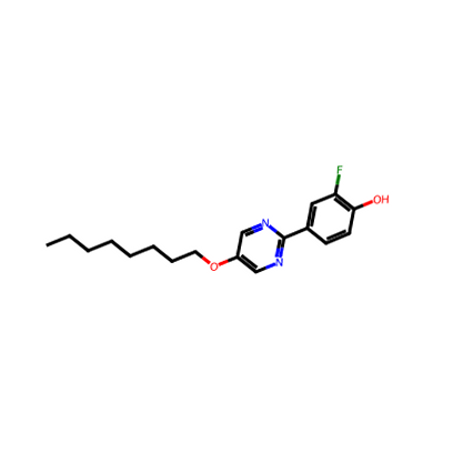 CCCCCCCCOc1cnc(-c2ccc(O)c(F)c2)nc1